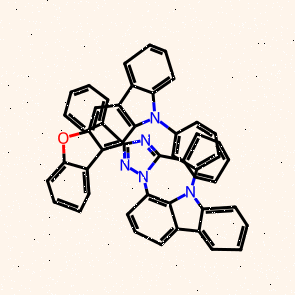 c1ccc(-c2nc(-c3ccccc3)n(-c3cccc4c5ccccc5n(-c5cccc(-n6c7ccccc7c7cc8oc9ccccc9c8cc76)c5)c34)n2)cc1